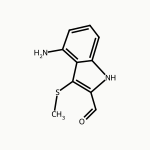 CSc1c(C=O)[nH]c2cccc(N)c12